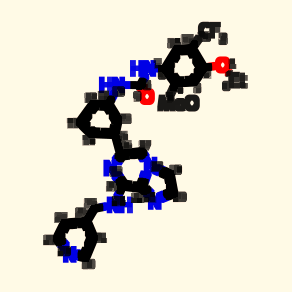 CCOc1cc(OC)c(NC(=O)Nc2cccc(-c3cn4ccnc4c(NCc4ccncc4)n3)c2)cc1C(F)(F)F